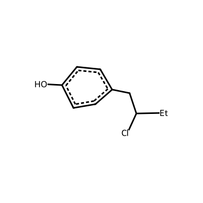 CCC(Cl)Cc1ccc(O)cc1